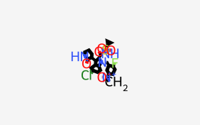 C=[N+]([O-])c1ccc(F)c(Cn2c(C(=O)NS(=O)(=O)C3CC3)c(-c3ccc[nH]c3=O)c3cc(Cl)ccc32)c1